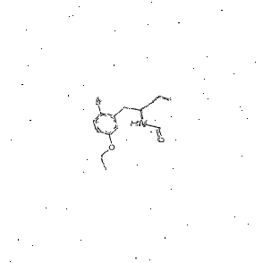 CCOc1ccc(Br)c(CC(CC)NC=O)c1